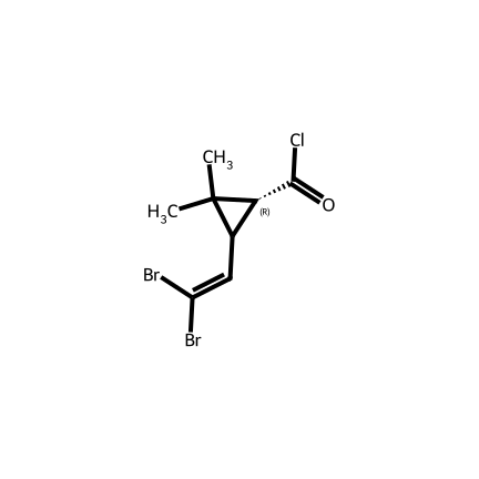 CC1(C)C(C=C(Br)Br)[C@H]1C(=O)Cl